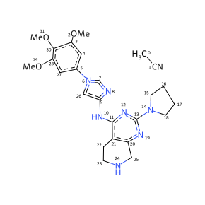 CC#N.COc1cc(-n2cnc(Nc3nc(N4CCCC4)nc4c3CCNC4)c2)cc(OC)c1OC